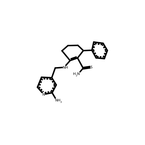 NC(=S)C1=C(NCc2ccnc(N)c2)CCCC1c1ccccc1